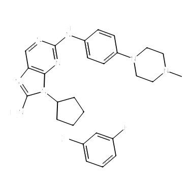 CN1CCN(c2ccc(Nc3ncc4nc(N)n(C5CCCC5)c4n3)cc2)CC1.Fc1cccc(Br)c1